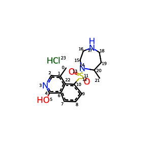 Cc1cnc(O)c2cccc(S(=O)(=O)N3CCNCCC3C)c12.Cl